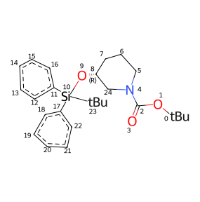 CC(C)(C)OC(=O)N1CCC[C@@H](O[Si](c2ccccc2)(c2ccccc2)C(C)(C)C)C1